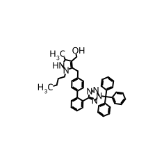 CCCCN1NC(C)C(CO)=C1Cc1ccc(-c2ccccc2-c2nnn(C(c3ccccc3)(c3ccccc3)c3ccccc3)n2)cc1